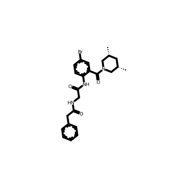 C[C@@H]1C[C@H](C)CN(C(=O)c2cc(Br)ccc2NC(=O)CNC(=O)Cc2ccccc2)C1